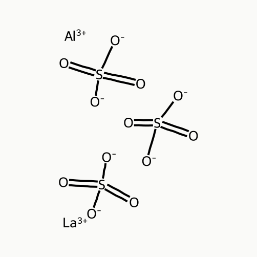 O=S(=O)([O-])[O-].O=S(=O)([O-])[O-].O=S(=O)([O-])[O-].[Al+3].[La+3]